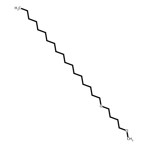 CCCCCCCCCCCCCCCCCCOCCCCOC